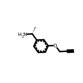 C#CCOc1cccc([C@@H](C)N)c1